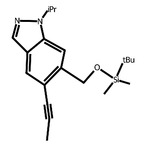 CC#Cc1cc2cnn(C(C)C)c2cc1CO[Si](C)(C)C(C)(C)C